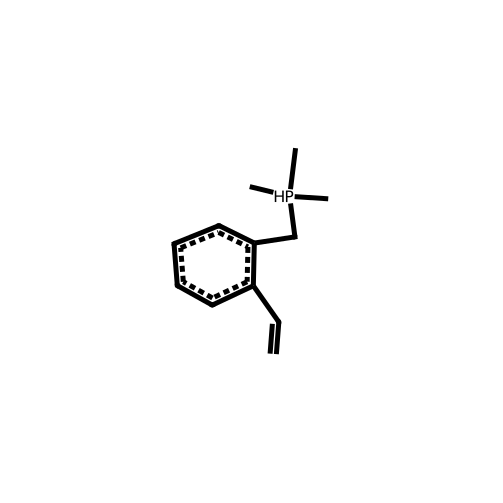 C=Cc1ccccc1C[PH](C)(C)C